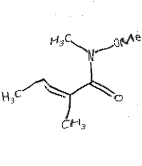 CC=C(C)C(=O)N(C)OC